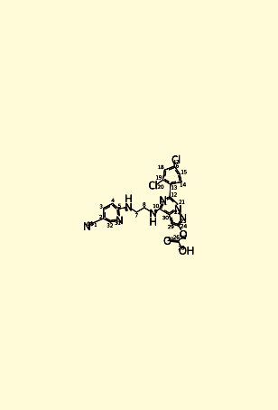 N#Cc1ccc(NCCNc2nc(-c3ccc(Cl)cc3Cl)cn3nc(OC(=O)O)cc23)nc1